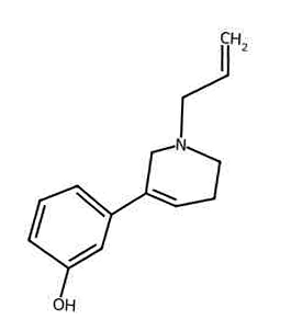 C=CCN1CCC=C(c2cccc(O)c2)C1